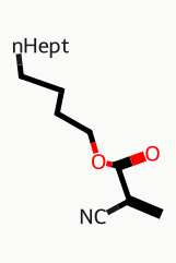 C=C(C#N)C(=O)OCCCCCCCCCCC